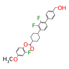 COc1ccc(OC(=O)C2CCC(c3ccc(-c4ccc(CO)cc4)c(F)c3F)CC2)c(F)c1